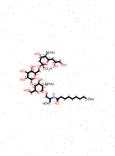 CCCCCCCCCCCCCCCCCC(=O)NC(CCCCCCCCCC)CO[C@@H]1OC(CO)[C@@H](O[C@@H]2OC(CO[C@]3(C(=O)O)C[C@@H](O)[C@@H](NC(C)=O)C(C[C@H](O)CO)O3)[C@H](O)C(O)[C@@H]2O)C(O)[C@@H]1NC(C)=O